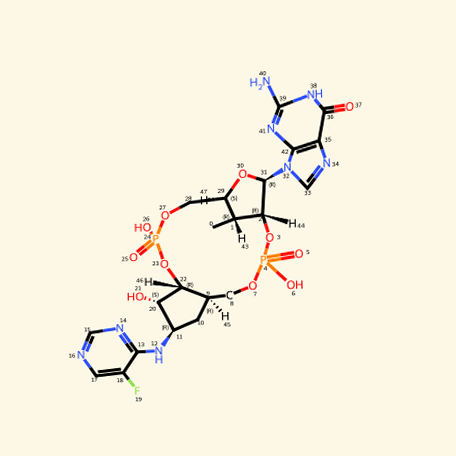 C[C@H]1[C@H]2OP(=O)(O)OC[C@H]3C[C@@H](Nc4ncncc4F)[C@H](O)[C@@H]3OP(=O)(O)OC[C@H]1O[C@H]2n1cnc2c(=O)[nH]c(N)nc21